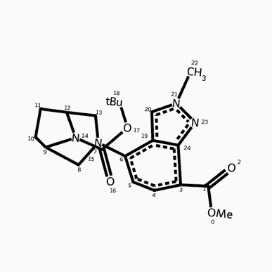 COC(=O)c1ccc(N2CC3CCC(C2)N3C(=O)OC(C)(C)C)c2cn(C)nc12